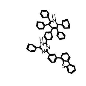 c1ccc(C2=NC(c3cccc(-c4cccc5c4sc4ccccc45)c3)=NC(c3ccc(C4=C(c5ccccc5)C(c5ccccc5)NC(c5ccccc5)=C4c4ccccc4)cc3)N2)cc1